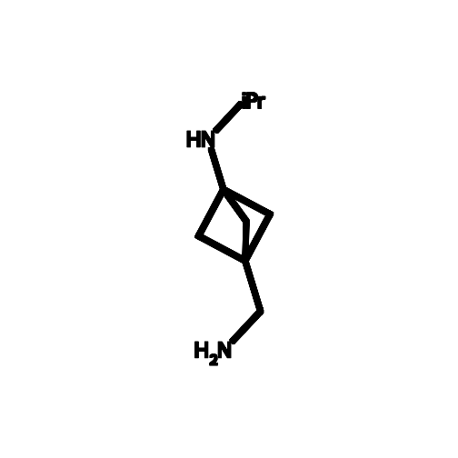 CC(C)NC12CC(CN)(C1)C2